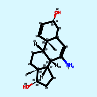 C[C@]12CC[C@H]3[C@@H](C(N)=CC4C[C@@H](O)C=C[C@@]43C)[C@@H]1CC[C@@H]2O